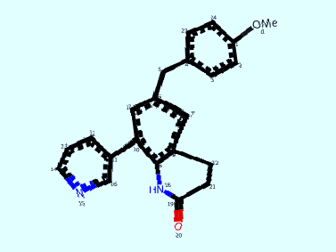 COc1ccc(Cc2cc3c(c(-c4cccnc4)c2)NC(=O)CC3)cc1